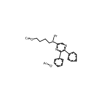 CC(=O)[O-].CC(C)N(CCCC[O][Ca+])c1cnc(-c2ccccc2)c(-c2ccccc2)n1